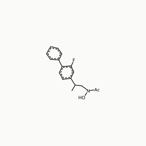 CC(=O)N(O)CC(C)c1ccc(-c2ccccc2)c(F)c1